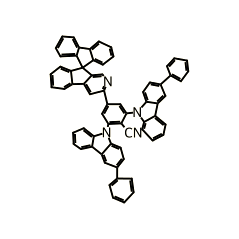 N#Cc1c(-n2c3ccccc3c3cc(-c4ccccc4)ccc32)cc(-c2cc3c(cn2)C2(c4ccccc4-c4ccccc42)c2ccccc2-3)cc1-n1c2ccccc2c2cc(-c3ccccc3)ccc21